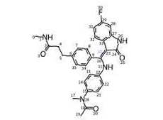 CNC(=O)CCc1ccc(/C(Nc2ccc(N(C)C(C)=O)cc2)=C2/C(=O)Nc3cc(F)ccc32)cc1